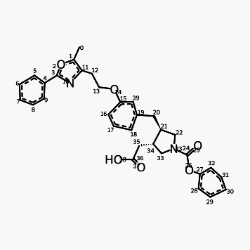 Cc1oc(-c2ccccc2)nc1CCOc1cccc(C[C@H]2CN(C(=O)Oc3ccccc3)C[C@@H]2CC(=O)O)c1